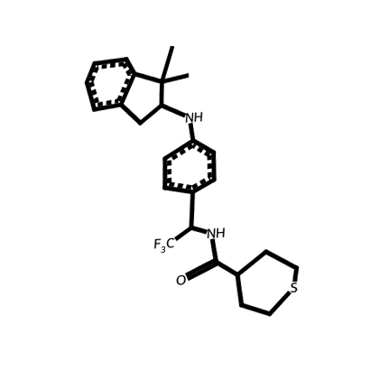 CC1(C)c2ccccc2CC1Nc1ccc(C(NC(=O)C2CCSCC2)C(F)(F)F)cc1